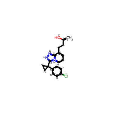 C=C(O)CCc1cccn2c(C3(c4ccc(Cl)cc4)CC3)nnc12